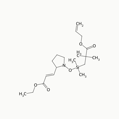 C=CCOC(=O)C(C)(C)C[Si](C)(C)ON1CCCC1C=CC(=O)OCC